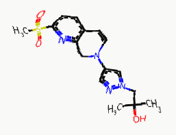 CC(C)(O)Cn1cc(N2C=Cc3ccc(S(C)(=O)=O)nc3C2)cn1